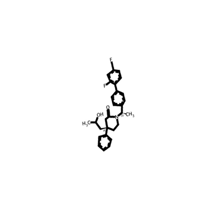 CC(O)C[C@]1(c2ccccc2)CCN([C@@H](C)c2ccc(-c3ccc(F)cc3F)cc2)C(=O)C1